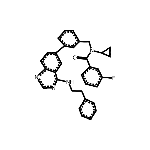 O=C(c1cccc(F)c1)N(Cc1cccc(-c2ccc3ncnc(NCCc4ccccc4)c3c2)c1)C1CC1